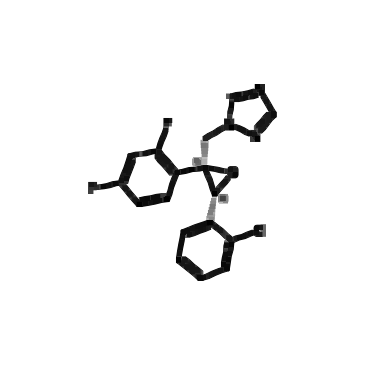 Fc1ccc([C@@]2(Cn3[c]ncn3)O[C@@H]2c2ccccc2Cl)c(F)c1